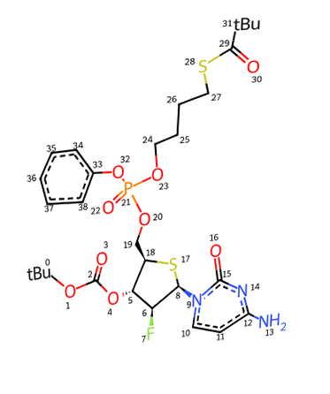 CC(C)(C)OC(=O)O[C@H]1[C@H](F)[C@H](n2ccc(N)nc2=O)S[C@@H]1COP(=O)(OCCCCSC(=O)C(C)(C)C)Oc1ccccc1